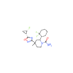 CC1(c2noc([C@@H]3C[C@@H]3F)n2)CCN(C(N)=O)C(C2CCCCC2(F)F)C1